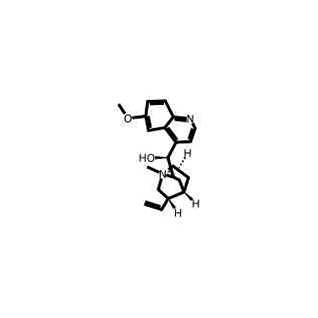 C=C[C@@H]1C[N+]2(C)CC[C@H]1C[C@@H]2[C@@H](O)c1ccnc2ccc(OC)cc12